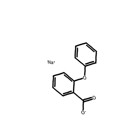 O=C([O-])c1ccccc1Oc1ccccc1.[Na+]